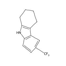 FC(F)(F)c1ccc2[nH]c3c(c2c1)CCCC3